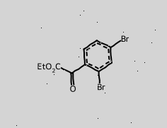 CCOC(=O)C(=O)c1ccc(Br)cc1Br